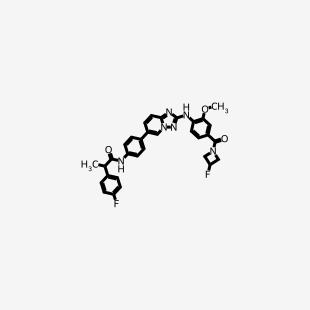 COc1cc(C(=O)N2CC(F)C2)ccc1Nc1nc2ccc(-c3ccc(NC(=O)C(C)c4ccc(F)cc4)cc3)cn2n1